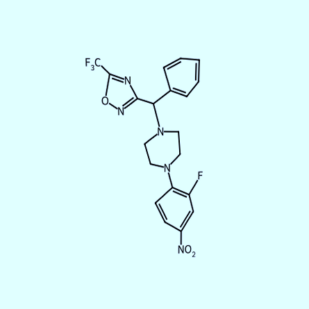 O=[N+]([O-])c1ccc(N2CCN(C(c3ccccc3)c3noc(C(F)(F)F)n3)CC2)c(F)c1